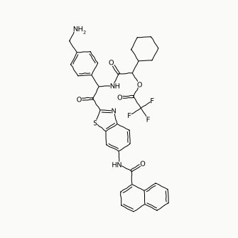 NCc1ccc(C(NC(=O)C(OC(=O)C(F)(F)F)C2CCCCC2)C(=O)c2nc3ccc(NC(=O)c4cccc5ccccc45)cc3s2)cc1